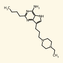 CCCCc1nc(N)c2[nH]cc(CCCN3CCN(CC)CC3)c2n1